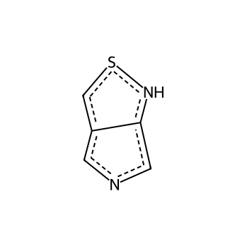 c1ncc2[nH]scc1-2